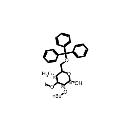 CCCCO[C@@H]1C(OI)[C@H](C)C(COC(c2ccccc2)(c2ccccc2)c2ccccc2)O[C@H]1O